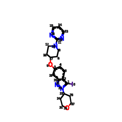 Ic1c2ccc(OC3CCN(c4ncccn4)CC3)cc2nn1C1CCOCC1